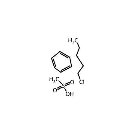 CCCCCCl.CS(=O)(=O)O.c1ccccc1